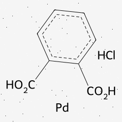 Cl.O=C(O)c1ccccc1C(=O)O.[Pd]